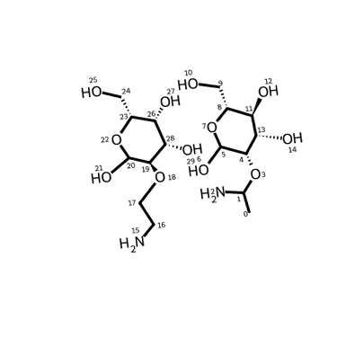 CC(N)O[C@@H]1C(O)O[C@H](CO)[C@@H](O)[C@@H]1O.NCCO[C@H]1C(O)O[C@H](CO)[C@H](O)[C@@H]1O